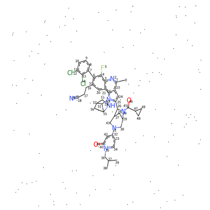 Cc1nc2c(F)c(-c3cccc(Cl)c3Cl)c(CCC#N)cc2c2c1cc(C1C3CC(CN(c4ccn(CC(C)C)c(=O)c4)C3)N1C(=O)C1CC1)n2C1C2CNC1C2